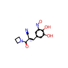 N#C/C(=C\c1cc(O)c(O)c(N=O)c1)C(=O)N1CCC1